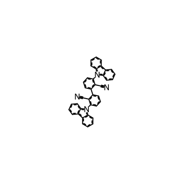 N#Cc1c(-c2cccc(-n3c4ccccc4c4ccccc43)c2C#N)cccc1-n1c2ccccc2c2ccccc21